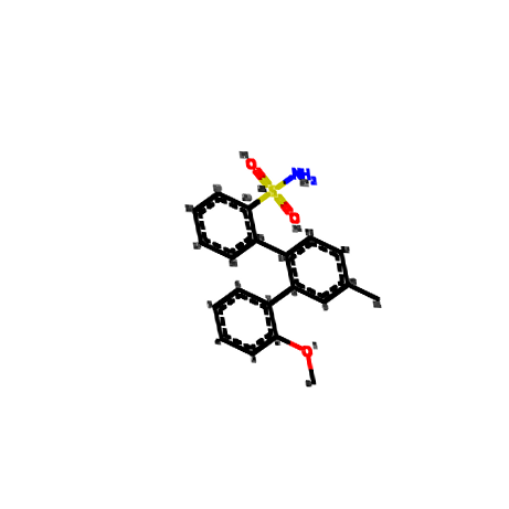 COc1ccccc1-c1cc(C)ccc1-c1ccccc1S(N)(=O)=O